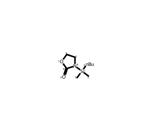 CCCC[Si](C)(C)N1CCOC1=O